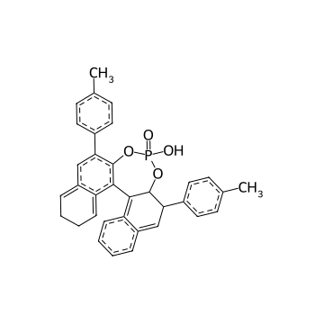 Cc1ccc(-c2cc3c(c4c2OP(=O)(O)OC2C4=c4ccccc4=CC2c2ccc(C)cc2)=CCCC=3)cc1